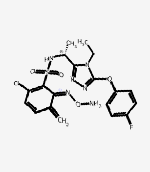 C=C1C=CC(Cl)=C(S(=O)(=O)N[C@H](C)c2nnc(Oc3ccc(F)cc3)n2CC)/C1=N/ON